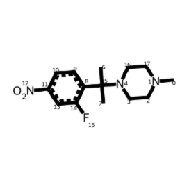 CN1CCN(C(C)(C)c2ccc([N+](=O)[O-])cc2F)CC1